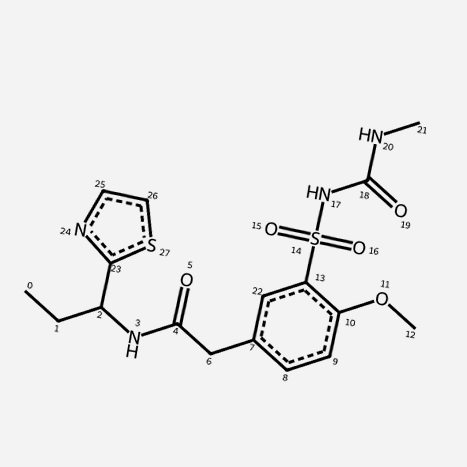 CCC(NC(=O)Cc1ccc(OC)c(S(=O)(=O)NC(=O)NC)c1)c1nccs1